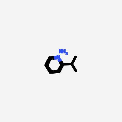 CC(C)c1ccccn1.N